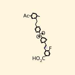 CC(=O)c1ccc(C)c(CCc2ccc(S(=O)(=O)c3ccc(/C=C/c4cc(C(=O)O)ccc4F)cc3)cc2)c1